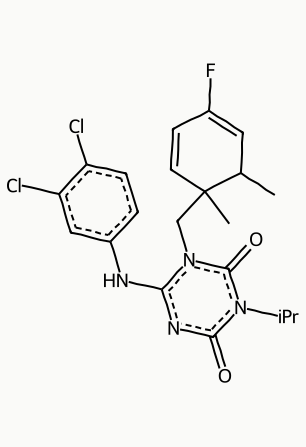 CC(C)n1c(=O)nc(Nc2ccc(Cl)c(Cl)c2)n(CC2(C)C=CC(F)=CC2C)c1=O